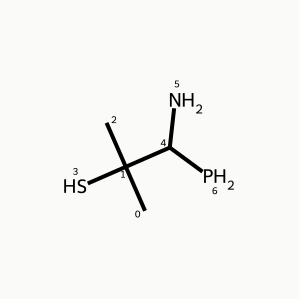 CC(C)(S)C(N)P